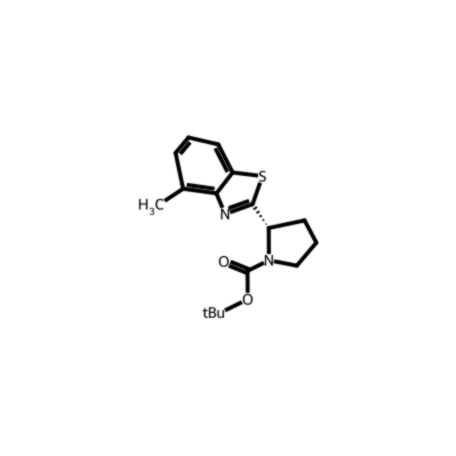 Cc1cccc2sc([C@@H]3CCCN3C(=O)OC(C)(C)C)nc12